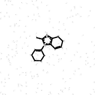 Cc1nc2c(n1C1=CCCCC1)C=CCC2